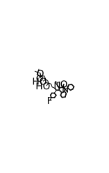 CC(C)n1c(CCC(O)CC(O)CC(=O)OC(C)(C)C)c(-c2ccc(F)cc2)c2c3ccccc3n(-c3ccccc3)c(=O)c21